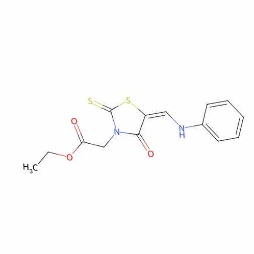 CCOC(=O)CN1C(=O)C(=CNc2ccccc2)SC1=S